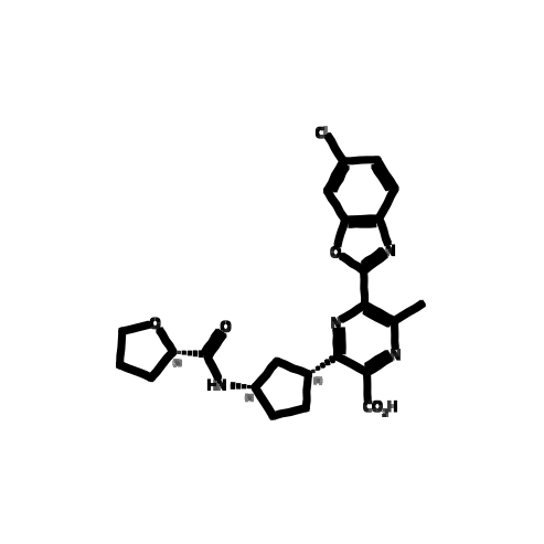 Cc1nc(C(=O)O)c([C@@H]2CC[C@H](NC(=O)[C@@H]3CCCO3)C2)nc1-c1nc2ccc(Cl)cc2o1